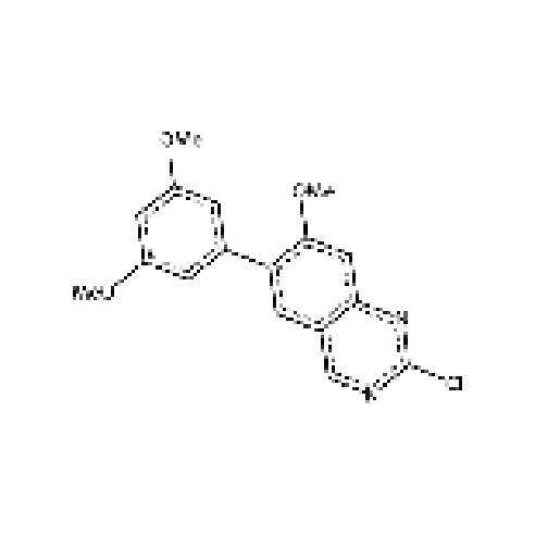 COc1cc(OC)cc(-c2cc3cnc(Cl)nc3cc2OC)c1